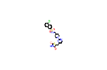 O=C1NC(=O)C(=Cc2ccnc(N3CCC(CNS(=O)(=O)c4ccc5c(Cl)cccc5c4)CC3)n2)S1